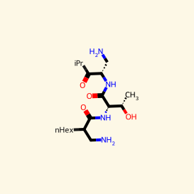 CCCCCCC(CN)C(=O)N[C@H](C(=O)N[C@@H](CN)C(=O)C(C)C)[C@H](C)O